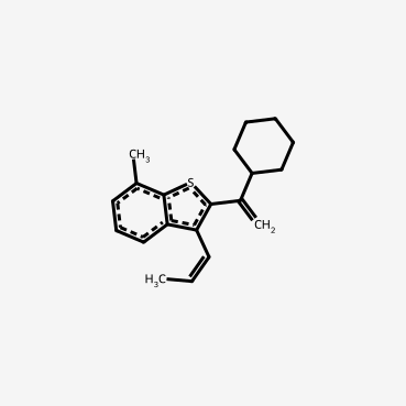 C=C(c1sc2c(C)cccc2c1/C=C\C)C1CCCCC1